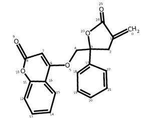 C=C1CC(COc2cc(=O)oc3ccccc23)(c2ccccc2)OC1=O